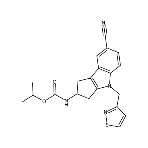 CC(C)OC(=O)NC1Cc2c(n(Cc3ccsn3)c3ccc(C#N)cc23)C1